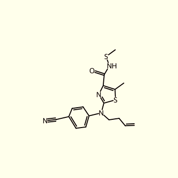 C=CCCN(c1ccc(C#N)cc1)c1nc(C(=O)NSC)c(C)s1